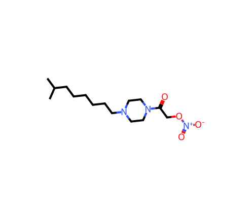 CC(C)CCCCCCN1CCN(C(=O)CO[N+](=O)[O-])CC1